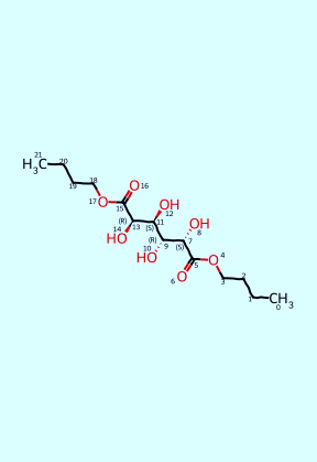 CCCCOC(=O)[C@@H](O)[C@H](O)[C@H](O)[C@@H](O)C(=O)OCCCC